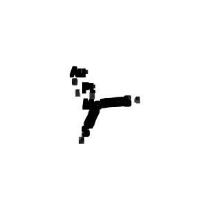 [Au].[Pt].[S]=[Mo]=[S]